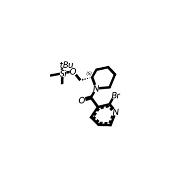 CC(C)(C)[Si](C)(C)OC[C@@H]1CCCCN1C(=O)c1cccnc1Br